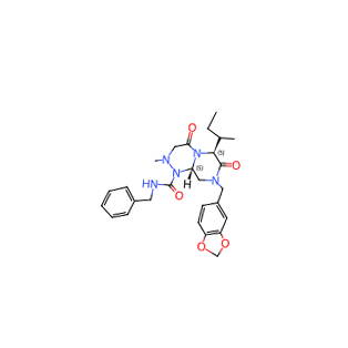 CCC(C)[C@H]1C(=O)N(Cc2ccc3c(c2)OCO3)C[C@H]2N1C(=O)CN(C)N2C(=O)NCc1ccccc1